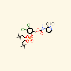 C[Si](C)(C)CCOP(=O)(OCC[Si](C)(C)C)Oc1cc(Cl)c(Cl)cc1COC(=O)Nc1cccnc1C=O